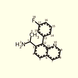 CC(N)c1ccc2cccnc2c1-c1cccc(F)c1